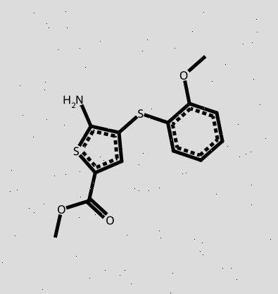 COC(=O)c1cc(Sc2ccccc2OC)c(N)s1